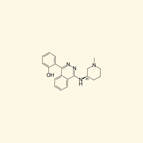 CN1CCC[C@@H](Nc2nnc(-c3ccccc3O)c3ccccc23)C1